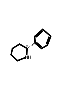 c1ccc([C@H]2CCCCN2)cc1